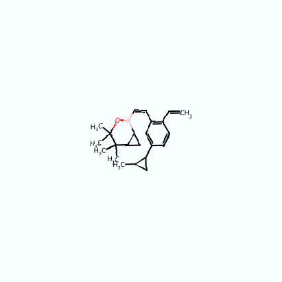 C=Cc1ccc(C2CC2C)cc1/C=C\B1OC(C)(C)C(C)(C)C2CC12